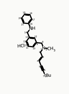 CN(CC=CC#CC(C)(C)C)Cc1cccc(CNc2ccccc2)c1.Cl